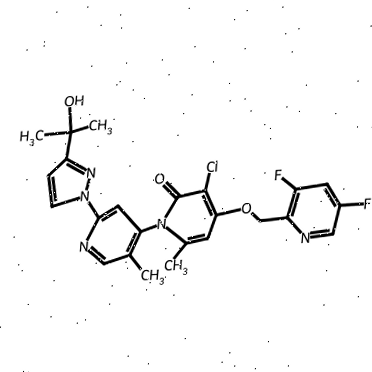 Cc1cnc(-n2ccc(C(C)(C)O)n2)cc1-n1c(C)cc(OCc2ncc(F)cc2F)c(Cl)c1=O